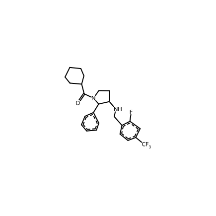 O=C(C1CCCCC1)N1CCC(NCc2ccc(C(F)(F)F)cc2F)C1c1ccccc1